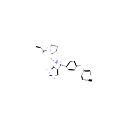 C#C/C=C\C(=C/C)Oc1ccc(-c2nn(C[C@@H]3CCCN3C(=O)C=C)c3ncncc23)cc1